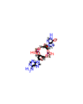 Nc1ncnc2c1ncn2[C@H]1C[C@@H]2OP(O)(=S)OCC3O[C@@H](n4cnc5c(=O)[nH]cnc54)[C@H](OP(O)(=S)OC[C@H]2O1)[C@@H]3F